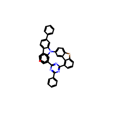 c1ccc(-c2ccc3c4ccccc4n(-c4ccc5sc6cccc(-c7nc(-c8ccccc8)nc(-c8ccccc8)n7)c6c5c4)c3c2)cc1